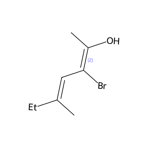 CCC(C)=C/C(Br)=C(\C)O